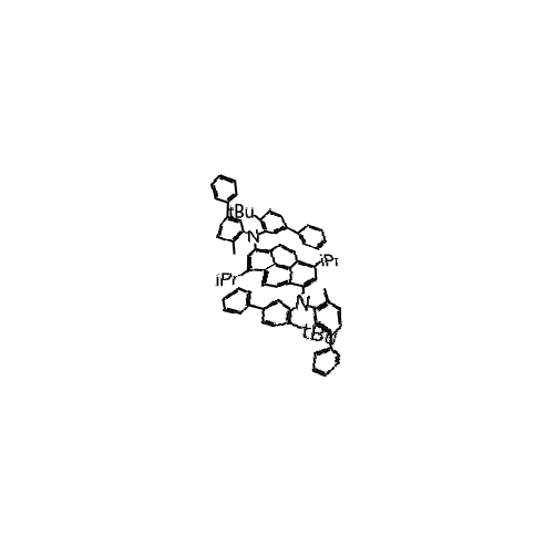 Cc1ccc(-c2ccccc2)cc1N(c1cc(-c2ccccc2)ccc1C(C)(C)C)c1cc(C(C)C)c2ccc3c(N(c4cc(-c5ccccc5)ccc4C)c4cc(-c5ccccc5)ccc4C(C)(C)C)cc(C(C)C)c4ccc1c2c43